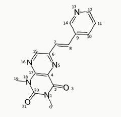 Cn1c(=O)c2nc(C=Cc3cccnc3)cnc2n(C)c1=O